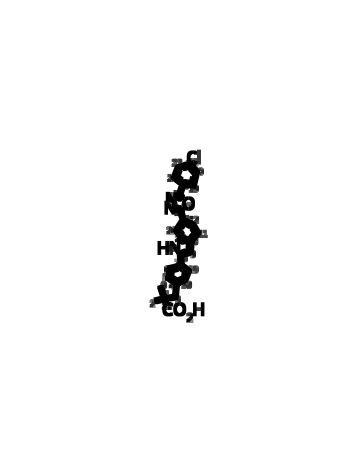 CC(C)(Cc1ccc(-c2cc3ccc(-c4nnc(-c5ccc(Cl)cc5)o4)cc3[nH]2)cc1)C(=O)O